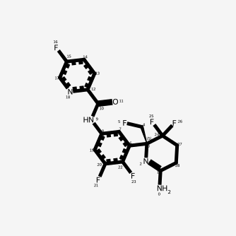 NC1=N[C@](CF)(c2cc(NC(=O)c3ccc(F)cn3)cc(F)c2F)C(F)(F)CC1